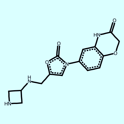 O=C1COc2ccc(-n3cc(CNC4CNC4)oc3=O)cc2N1